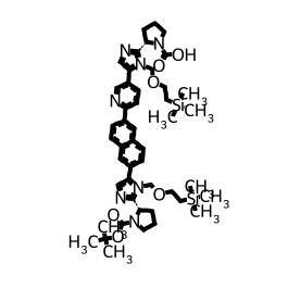 CC(C)(C)OC(=O)N1CCC[C@H]1c1ncc(-c2ccc3cc(-c4ccc(-c5cnc([C@@H]6CCCN6C(=O)O)n5COCC[Si](C)(C)C)cn4)ccc3c2)n1COCC[Si](C)(C)C